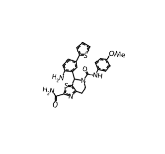 COc1ccc(NC(=O)N2CCc3nc(C(N)=O)sc3C2c2cc(-c3cccs3)ccc2N)cc1